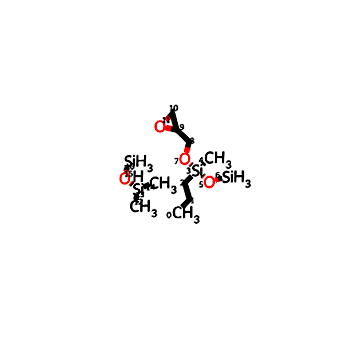 CCC[Si](C)(O[SiH3])OCC1CO1.C[SiH](C)O[SiH3]